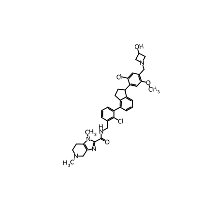 COc1cc(C2CCc3c(-c4cccc(CNC(=O)c5nc6c(n5C)CCN(C)C6)c4Cl)cccc32)c(Cl)cc1CN1CC(O)C1